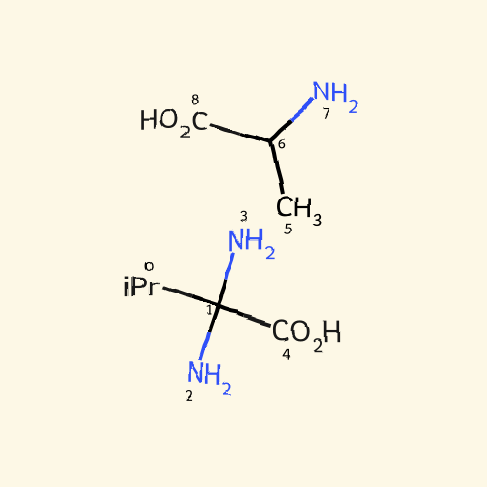 CC(C)C(N)(N)C(=O)O.CC(N)C(=O)O